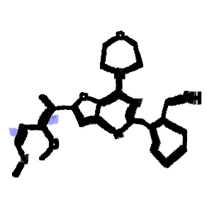 C=N/C=C\C(OC)=C(/C)c1cc2nc(-c3ccccc3C=N)nc(N3CCOCC3)c2o1